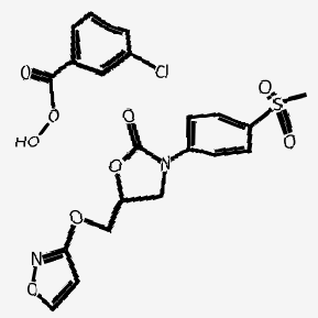 CS(=O)(=O)c1ccc(N2CC(COc3ccon3)OC2=O)cc1.O=C(OO)c1cccc(Cl)c1